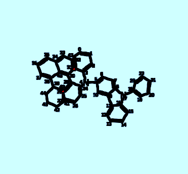 c1ccc(N(c2ccc3c(c2)c2ccccc2n3-c2ccccc2)c2ccccc2-c2cccc3cccc(C4CCCCC4)c23)cc1